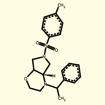 Cc1ccc(S(=O)(=O)N2CC3OCCN(C(C)c4ccccc4)[C@H]3C2)cc1